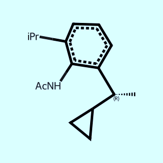 CC(=O)Nc1c(C(C)C)cccc1[C@H](C)C1CC1